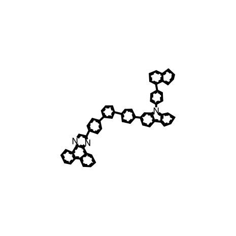 c1cc(-c2ccc(-c3ccc4c5ccccc5n(-c5ccc(-c6cccc7ccccc67)cc5)c4c3)cc2)cc(-c2ccc(-c3cnc4c5ccccc5c5ccccc5c4n3)cc2)c1